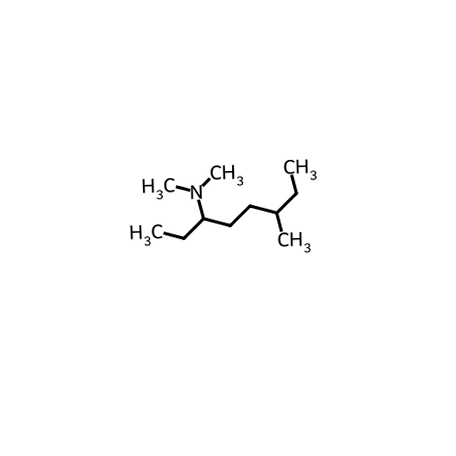 CCC(C)CCC(CC)N(C)C